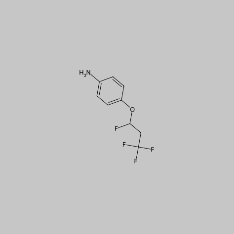 Nc1ccc(OC(F)CC(F)(F)F)cc1